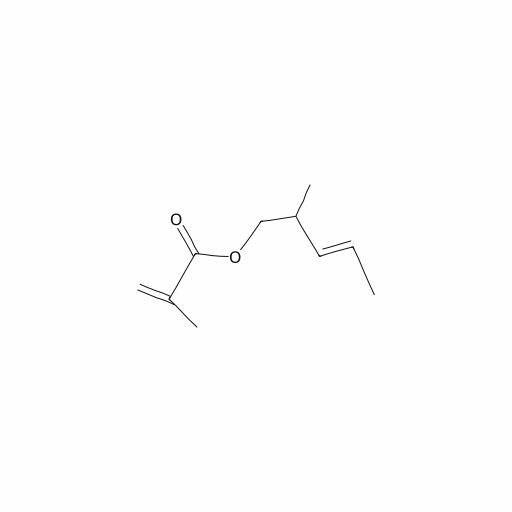 C=C(C)C(=O)OCC(C)C=CC